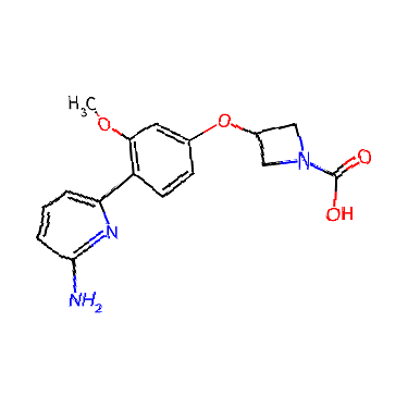 COc1cc(OC2CN(C(=O)O)C2)ccc1-c1cccc(N)n1